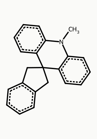 CN1c2ccccc2C2(Cc3ccccc3C2)c2ccccc21